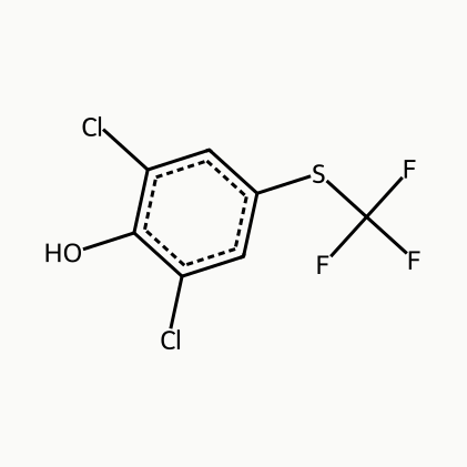 Oc1c(Cl)cc(SC(F)(F)F)cc1Cl